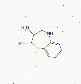 CC(C)C1Sc2ccccc2NCC1N